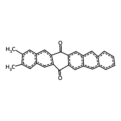 Cc1cc2cc3c(cc2cc1C)C(=O)c1cc2cc4ccccc4cc2cc1C3=O